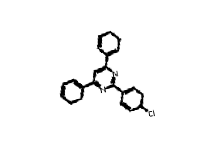 ClC1C=CC(c2nc(C3=CCCC=C3)cc(C3=CC=CCC3)n2)=CC1